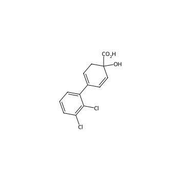 O=C(O)C1(O)C=CC(c2cccc(Cl)c2Cl)=CC1